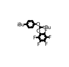 CCC(C)c1ccc(OC(Oc2c(F)c(F)c(F)c(F)c2F)C(C)(C)C)cc1